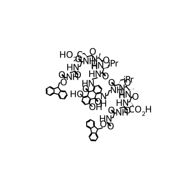 CC(C)C[C@H](NC(=O)[C@H](C)NC(=O)[C@H](CC(=O)O)NC(=O)CNC(=O)CNC(=O)OCC1c2ccccc2-c2ccccc21)C(=O)NCCNc1ccc(NCCNC(=O)[C@H](CC(C)C)NC(=O)[C@H](C)NC(=O)[C@H](CC(=O)O)NC(=O)CNC(=O)CNC(=O)OCC2c3ccccc3-c3ccccc32)c2c1C(=O)c1c(O)ccc(O)c1C2=O